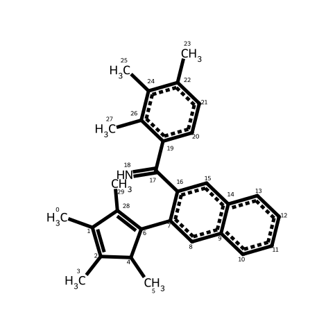 CC1=C(C)C(C)C(c2cc3ccccc3cc2C(=N)c2ccc(C)c(C)c2C)=C1C